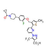 Cc1cc(COc2ccc(C3CCN(C(=O)C4CC4)CC3)cc2F)c(-c2cccc(-n3ncc(C(=O)O)c3C(F)(F)F)n2)s1